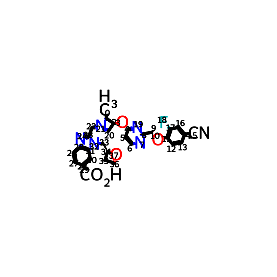 C[C@H]1[C@@H](Oc2ccnc(COc3ccc(C#N)cc3F)n2)CN1Cc1nc2ccc(C(=O)O)cc2n1C[C@@H]1CCO1